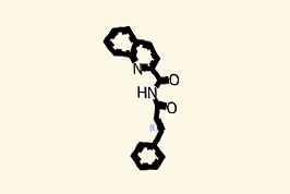 O=C(/C=C/c1ccccc1)NC(=O)c1ccc2ccccc2n1